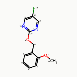 COc1ccccc1COc1ncc(F)cn1